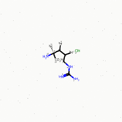 Cl.[3H]C(CNC(=N)N)C([3H])[C@]([3H])(N)C(=O)O